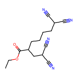 CCOC(=O)C(CCCCC(C#N)C#N)CC(C#N)C#N